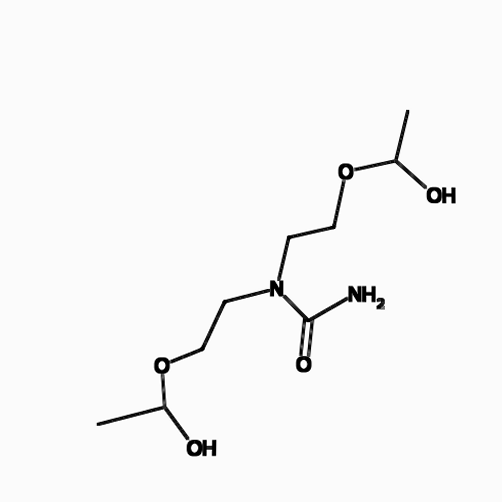 CC(O)OCCN(CCOC(C)O)C(N)=O